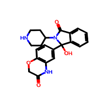 O=C1COc2ccc(C3(O)c4ccccc4C(=O)N3C3CCNCC3)cc2N1